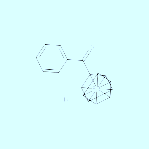 O=C(c1ccccc1)[C]12[CH]3[CH]4[CH]5[CH]1[Fe]45321678[CH]2[CH]1[CH]6[CH]7[CH]28.[Fe]